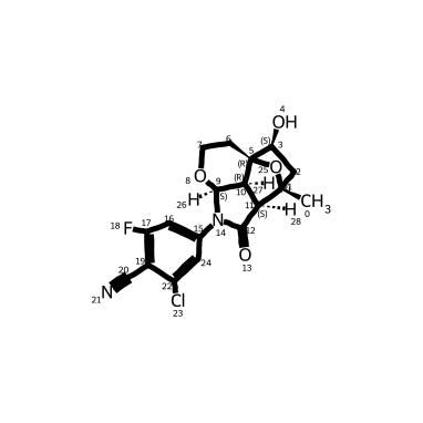 C[C@@]12C[C@H](O)[C@]3(CCO[C@H]4[C@@H]3[C@@H]1C(=O)N4c1cc(F)c(C#N)c(Cl)c1)O2